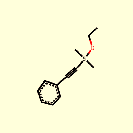 CCO[Si](C)(C)C#Cc1ccccc1